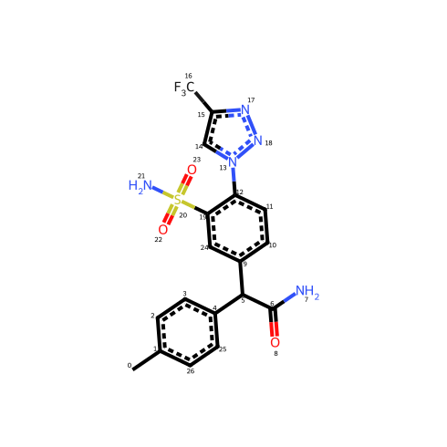 Cc1ccc(C(C(N)=O)c2ccc(-n3cc(C(F)(F)F)nn3)c(S(N)(=O)=O)c2)cc1